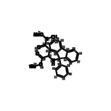 CON(C)C(=O)CC(NC1(c2ccccc2)c2ccccc2-c2ccccc21)C(=O)OC(C)(C)C